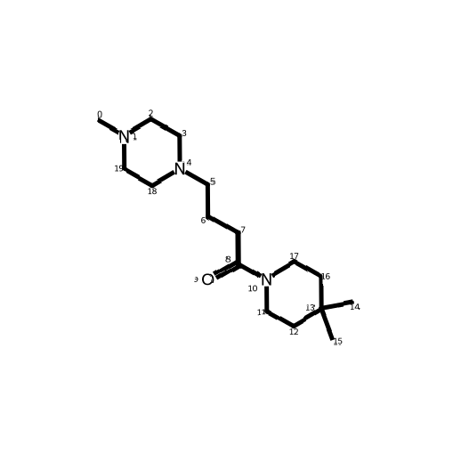 CN1CCN(CCCC(=O)N2CCC(C)(C)CC2)CC1